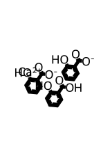 O=C(O)c1ccccc1O.O=C([O-])c1ccccc1O.O=C([O-])c1ccccc1O.[Ca+2]